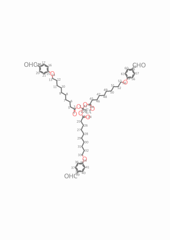 CCC(OC(=O)CCCCCCCCCOc1ccc(C=O)cc1)(OC(=O)CCCCCCCCCOc1ccc(C=O)cc1)OC(=O)CCCCCCCCCOc1ccc(C=O)cc1